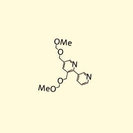 COCOCc1cnc(-c2cccnc2)c(COCOC)c1